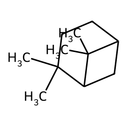 CC1(C)CCC2CC1C2(C)C